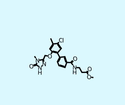 COC(=O)CCNC(=O)c1cccc(-c2cc(Cl)c(C)cc2OCc2n[nH]c(=O)n2C)c1